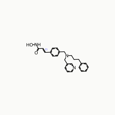 O=C(/C=C/c1ccc(CN(CCCc2ccccc2)Cc2cccnc2)cc1)NO